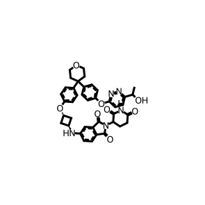 CC(O)c1ccc(Oc2ccc(C3(c4ccc(O[C@H]5C[C@H](Nc6ccc7c(c6)C(=O)N(C6CCC(=O)NC6=O)C7=O)C5)cc4)CCOCC3)cc2)nn1